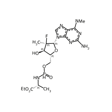 CCOC(=O)[C@@H](C)N[PH](=O)OC[C@H]1O[C@@H](n2cnc3c(NC)nc(N)nc32)[C@](C)(F)[C@@H]1O